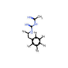 [2H]c1c([2H])c([2H])c(CC([2H])NC(=N)NC(C)=N)c([2H])c1[2H]